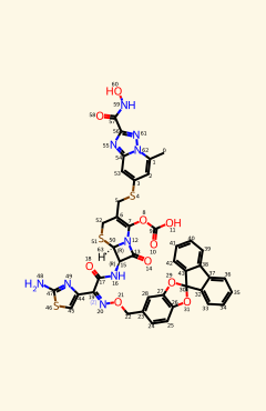 Cc1cc(SCC2=C(OC(=O)O)N3C(=O)[C@@H](NC(=O)/C(=N\OCc4ccc5c(c4)OC4(O5)c5ccccc5-c5ccccc54)c4csc(N)n4)[C@H]3SC2)cc2nc(C(=O)NO)nn12